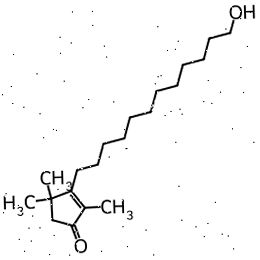 CC1=C(CCCCCCCCCCCCO)C(C)(C)CC1=O